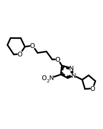 O=[N+]([O-])c1cn(C2CCOC2)nc1OCCCOC1CCCCO1